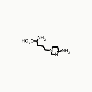 NC1=NCN(CCCC(N)C(=O)O)C=C1